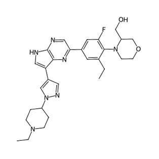 CCc1cc(-c2cnc3[nH]cc(-c4cnn(C5CCN(CC)CC5)c4)c3n2)cc(F)c1N1CCOCC1CO